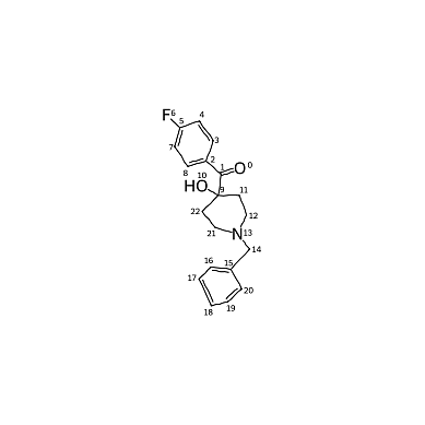 O=C(c1ccc(F)cc1)C1(O)CCN(Cc2ccccc2)CC1